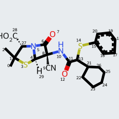 CC1(C)S[C@H]2N(C(=O)[C@]2(C#N)NC(=O)C(Sc2ccccc2)C2CCCCC2)[C@H]1C(=O)O